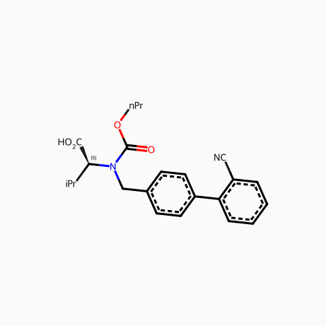 CCCOC(=O)N(Cc1ccc(-c2ccccc2C#N)cc1)[C@H](C(=O)O)C(C)C